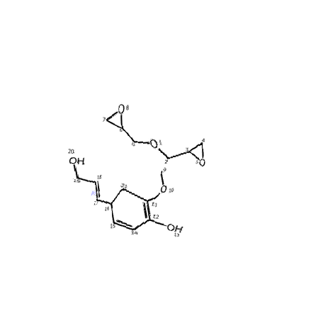 C(OCC1CO1)C1CO1.COC1=C(O)C=CC(/C=C/CO)C1